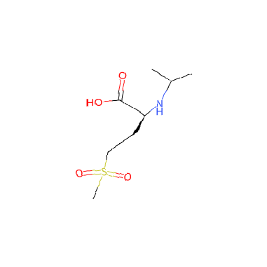 CC(C)N[C@@H](CCS(C)(=O)=O)C(=O)O